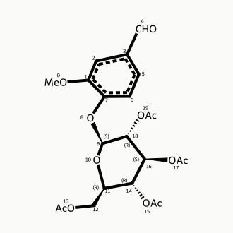 COc1cc(C=O)ccc1O[C@@H]1O[C@H](COC(C)=O)[C@@H](OC(C)=O)[C@H](OC(C)=O)[C@H]1OC(C)=O